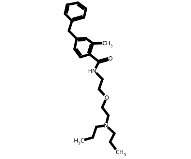 CCCN(CCC)CCOCCNC(=O)c1ccc(Cc2ccccc2)cc1C